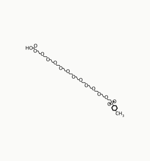 Cc1ccc(S(=O)(=O)CCOCCOCCOCCOCCOCCOCCOCCOCCOCCOCCOCCOC(=O)O)cc1